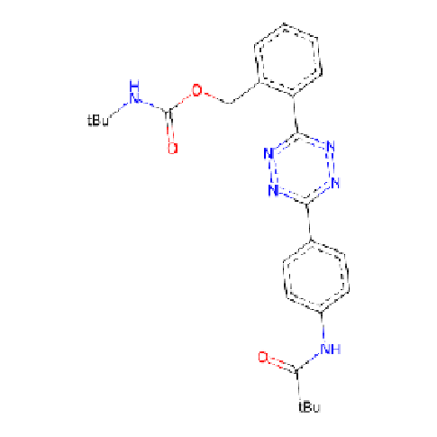 CC(C)(C)NC(=O)OCc1ccccc1-c1nnc(-c2ccc(NC(=O)C(C)(C)C)cc2)nn1